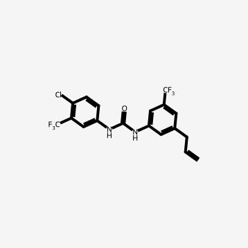 C=CCc1cc(NC(=O)Nc2ccc(Cl)c(C(F)(F)F)c2)cc(C(F)(F)F)c1